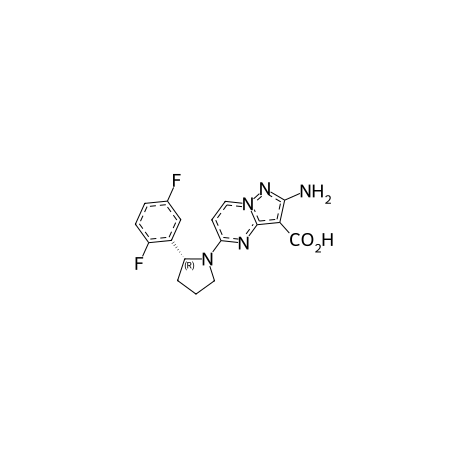 Nc1nn2ccc(N3CCC[C@@H]3c3cc(F)ccc3F)nc2c1C(=O)O